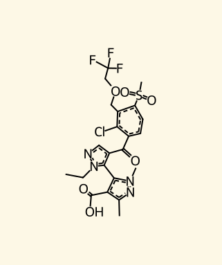 CCn1ncc(C(=O)c2ccc(S(C)(=O)=O)c(COCC(F)(F)F)c2Cl)c1-c1c(C(=O)O)c(C)nn1C